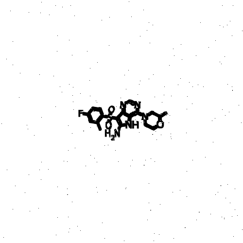 Cc1cc(F)ccc1S(=O)(=O)c1c(N)[nH]c2c(N3CCOC(C)C3)ncnc12